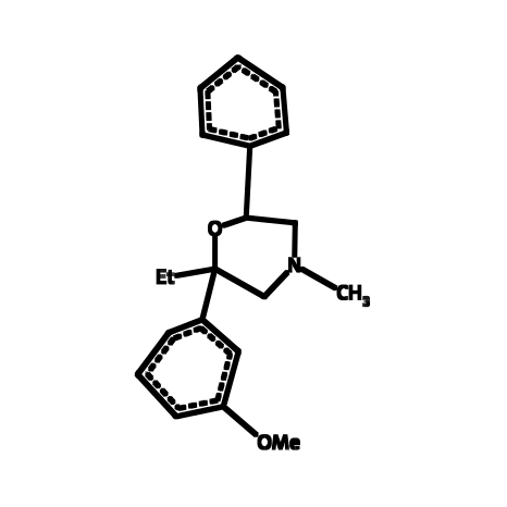 CCC1(c2cccc(OC)c2)CN(C)CC(c2ccccc2)O1